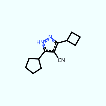 N#Cc1c(C2CCC2)n[nH]c1C1CCCC1